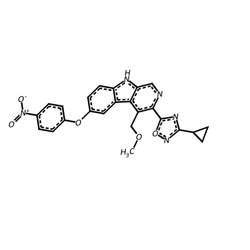 COCc1c(-c2nc(C3CC3)no2)ncc2[nH]c3ccc(Oc4ccc([N+](=O)[O-])cc4)cc3c12